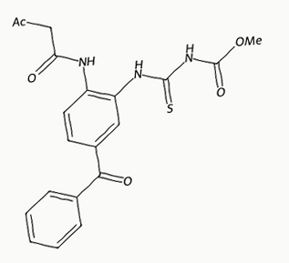 COC(=O)NC(=S)Nc1cc(C(=O)c2ccccc2)ccc1NC(=O)CC(C)=O